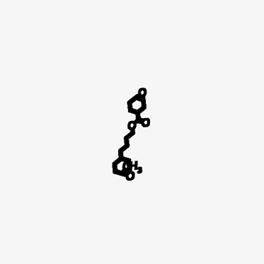 CC12CCC(CCCCOC(=O)C3CCC4OC4C3)CC1O2